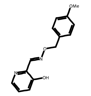 COc1ccc(CON=Cc2ncccc2O)cc1